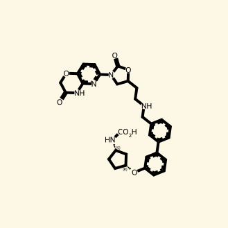 O=C(O)N[C@H]1CC[C@@H](Oc2cccc(-c3cccc(CNCCC4CN(c5ccc6c(n5)NC(=O)CO6)C(=O)O4)c3)c2)C1